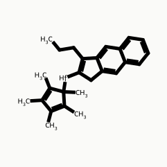 CCCC1=[C]([Hf][C]2(C)C(C)=C(C)C(C)=C2C)Cc2cc3ccccc3cc21